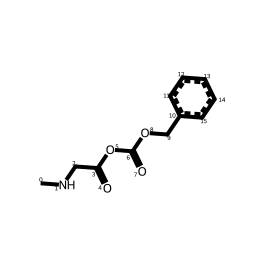 CNCC(=O)OC(=O)OCc1ccccc1